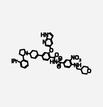 CC(C)c1ccccc1C1CCCN1C1CC=C(c2ccc(C(=O)NS(=O)(=O)c3ccc(NCC4CCOCC4)c([N+](=O)[O-])c3)c(Oc3cnc4[nH]ccc4c3)c2)CC1